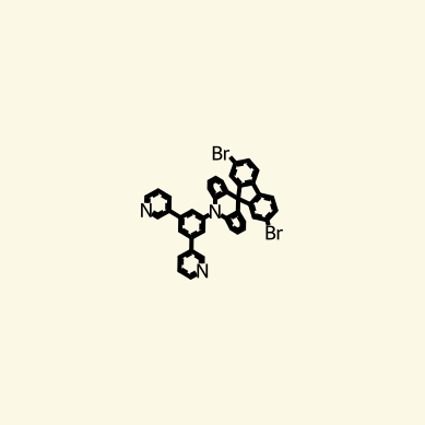 Brc1ccc2c(c1)C1(c3cc(Br)ccc3-2)c2ccccc2N(c2cc(-c3cccnc3)cc(-c3cccnc3)c2)c2ccccc21